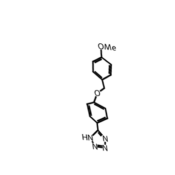 COc1ccc(COc2ccc(-c3nnn[nH]3)cc2)cc1